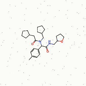 Cc1ccc(C(C(=O)NCC2CCCO2)N(CC2CCCC2)C(=O)CC2CCCC2)cc1